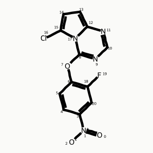 O=[N+]([O-])c1ccc(Oc2ncnc3ccc(Cl)n23)c(F)c1